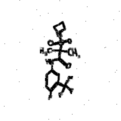 CC(C)(C(=O)Nc1ccc(F)c(C(F)(F)F)c1)S(=O)(=O)N1CCC1